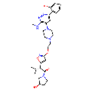 CNc1nnc(-c2ccccc2O)cc1N1CCN(CCOc2cc([C@H](C(=O)N3CC[C@@H](O)C3)C(C)C)on2)CC1